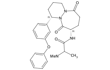 CNC(C)C(=O)N[C@H]1CCC(=O)N2CCC[C@@H](c3cccc(Oc4ccccc4)c3)N2C1=O